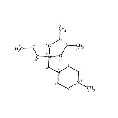 CCO[Si](CN1CCN(C)CC1)(OCC)OCC